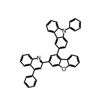 c1ccc(-c2cc(-c3cc(-c4ccc5c(c4)c4ccccc4n5-c4ccccc4)c4c(c3)oc3ccccc34)nc3ccccc23)cc1